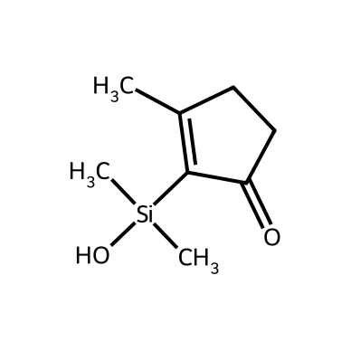 CC1=C([Si](C)(C)O)C(=O)CC1